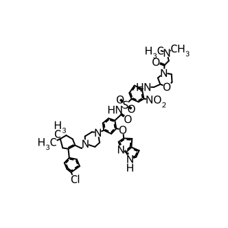 CN(C)CC(=O)N1CCOC(CNc2ccc(S(=O)(=O)NC(=O)c3ccc(N4CCN(CC5=C(c6ccc(Cl)cc6)CC(C)(C)CC5)CC4)cc3Oc3cnc4[nH]ccc4c3)cc2[N+](=O)[O-])C1